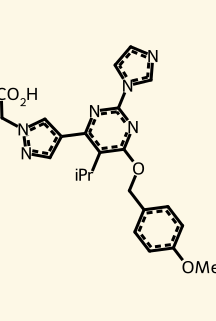 COc1ccc(COc2nc(-n3ccnc3)nc(-c3cnn(CC(=O)O)c3)c2C(C)C)cc1